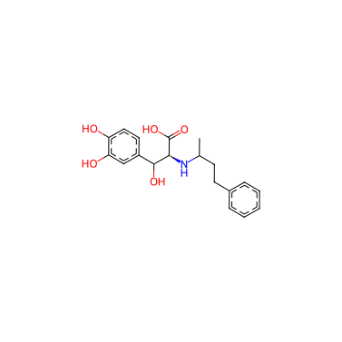 CC(CCc1ccccc1)N[C@H](C(=O)O)C(O)c1ccc(O)c(O)c1